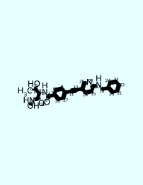 C[C@@H](O)[C@H](NC(=O)c1ccc(C#Cc2ccc(NCc3ccccc3)nc2)cc1)C(=O)NO